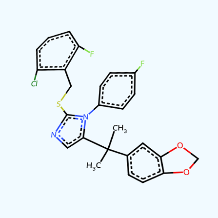 CC(C)(c1ccc2c(c1)OCO2)c1cnc(SCc2c(F)cccc2Cl)n1-c1ccc(F)cc1